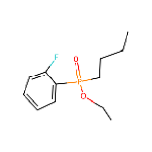 CCCCP(=O)(OCC)c1ccccc1F